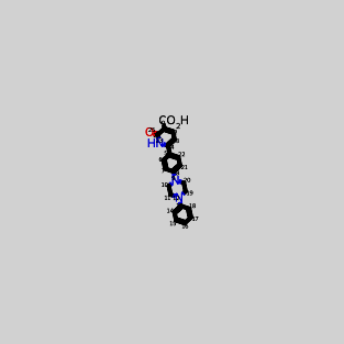 O=C(O)c1ccc(-c2ccc(N3CCN(c4ccccc4)CC3)cc2)[nH]c1=O